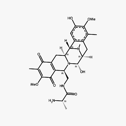 COC1=C(C)C(=O)C2=C(C1=O)[C@H](CNC(=O)[C@H](C)N)N1[C@@H](O)[C@@H]3Cc4c(cc(O)c(OC)c4C)[C@@H]([C@@H]1C2)N3C